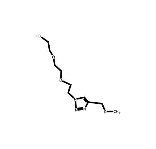 COCc1cn(CCOCCOCCO)nn1